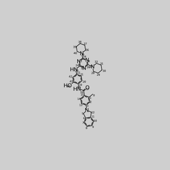 Cc1cc(N2Cc3ccccc3C2)ccc1C(=O)Nc1ccc(Nc2nc(N3CCCCC3)nc(N3CCCCC3)n2)cc1O